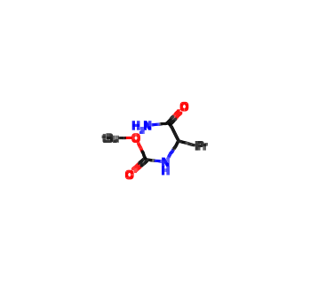 CC(C)C(NC(=O)OC(C)(C)C)C(N)=O